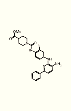 COC(=O)C1CCN(C(=O)Nc2ccc(Nc3nc(-c4ccccc4)ccc3N)cc2F)CC1